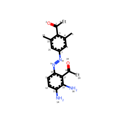 CCC(=O)c1c(C)cc(N=Nc2ccc(N)c(N)c2C(=O)CC)cc1C